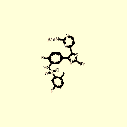 CNc1nccc(-c2sc(C(C)C)nc2-c2ccc(F)c(NS(=O)(=O)c3cc(F)ccc3F)c2)n1